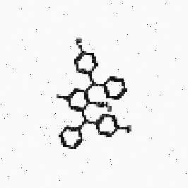 Cc1cc(C(c2ccccc2)c2ccc(F)cc2)c(N)c(C(c2ccccc2)c2ccc(F)cc2)c1